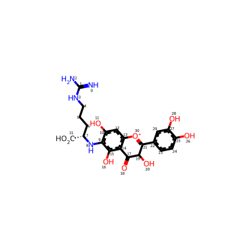 N=C(N)NCCC[C@H](Nc1c(O)cc2c(c1O)C(=O)C(O)C(c1ccc(O)c(O)c1)=[O+]2)C(=O)O